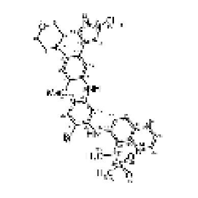 COc1cc(N2CCOCC2)c(-c2cnn(C)c2)cc1Nc1ncc(Br)c(Nc2ccc3nccnc3c2P(C)S(C)(=O)=O)n1